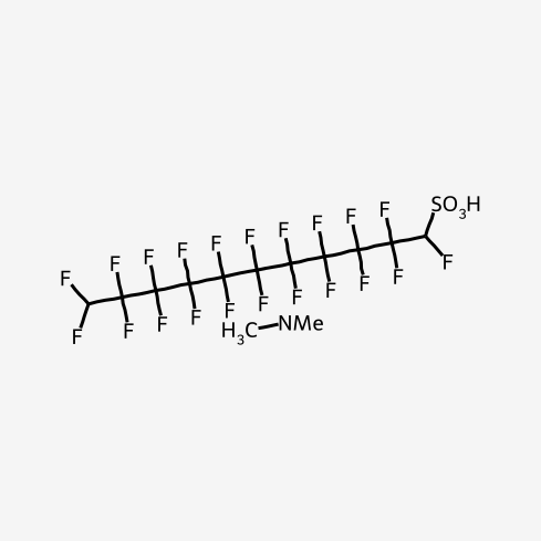 CNC.O=S(=O)(O)C(F)C(F)(F)C(F)(F)C(F)(F)C(F)(F)C(F)(F)C(F)(F)C(F)(F)C(F)(F)C(F)(F)C(F)F